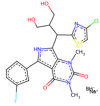 Cn1c(=O)c2c(-c3cccc(F)c3)[nH]c(C(c3nc(Cl)cs3)C(CO)CO)c2n(C)c1=O.[BH4-].[Na+]